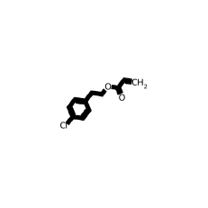 C=CC(=O)OCCc1ccc(Cl)cc1